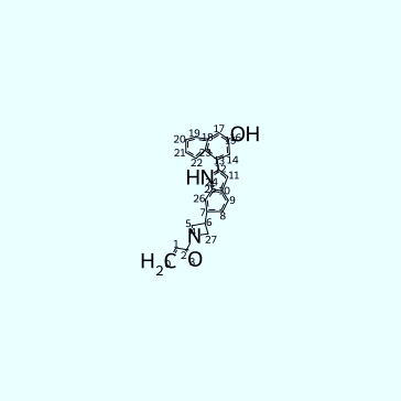 C=CC(=O)N1CC(c2ccc3cc(-c4cc(O)cc5ccccc45)[nH]c3c2)C1